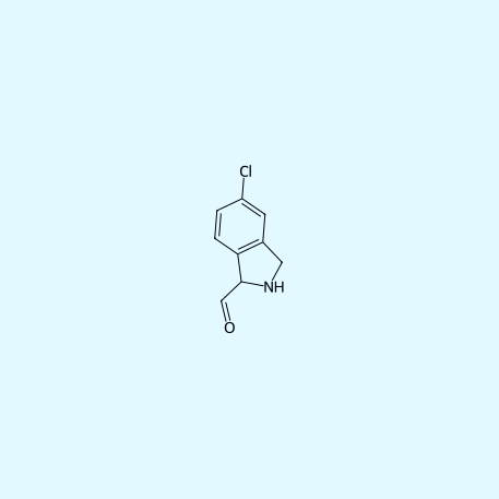 O=CC1NCc2cc(Cl)ccc21